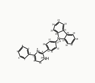 C1=C(c2ccccc2)N=C(c2ccc(-n3c4ccccc4c4ccccc43)cc2)NC1